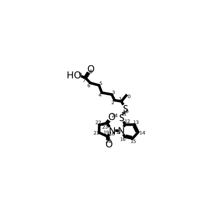 CC(CCCCCC(=O)O)SSC1C=CC=CN1N1C(=O)CCC1=O